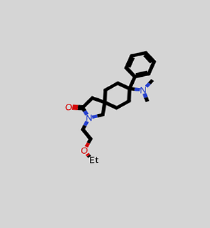 CCOCCN1CC2(CCC(c3ccccc3)(N(C)C)CC2)CC1=O